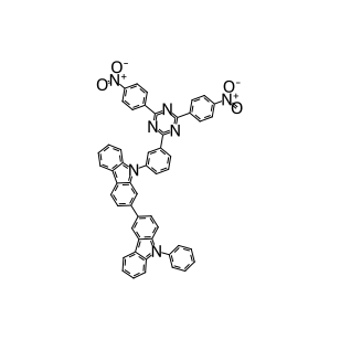 O=[N+]([O-])c1ccc(-c2nc(-c3ccc([N+](=O)[O-])cc3)nc(-c3cccc(-n4c5ccccc5c5ccc(-c6ccc7c(c6)c6ccccc6n7-c6ccccc6)cc54)c3)n2)cc1